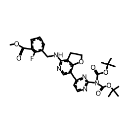 COC(=O)c1cccc(CNc2ncc(-c3ccnc(N(C(=O)OC(C)(C)C)C(=O)OC(C)(C)C)n3)c3c2CCO3)c1F